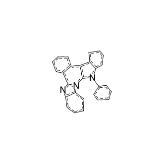 c1ccc(-n2c3ccccc3c3c4ccccc4c4nc5ccccc5n4c32)cc1